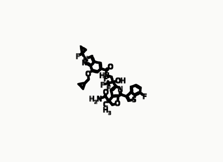 C[C@]1(C(N)=O)COc2c1cc(C(O)(CNC(=O)c1cc(OCC3CC3)c3nn(C4(F)CC4)cc3c1)C(F)(F)F)nc2-c1csc2c(F)cccc12